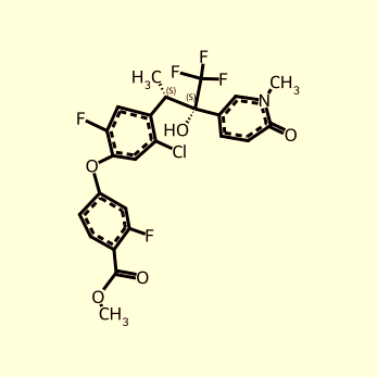 COC(=O)c1ccc(Oc2cc(Cl)c([C@H](C)[C@](O)(c3ccc(=O)n(C)c3)C(F)(F)F)cc2F)cc1F